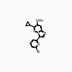 COc1cc2ncc(-c3cccc(Br)n3)n2nc1C1CC1